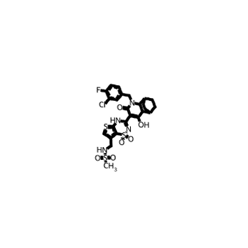 CS(=O)(=O)NCc1csc2c1S(=O)(=O)N=C(C1=C(O)C3C4CCC(CC4)C3N(Cc3ccc(F)c(Cl)c3)C1=O)N2